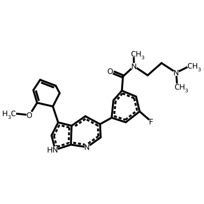 COC1=CC=CCC1c1c[nH]c2ncc(-c3cc(F)cc(C(=O)N(C)CCN(C)C)c3)cc12